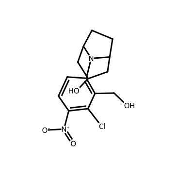 O=[N+]([O-])c1ccc(N2C3CCC2CC(O)C3)c(CO)c1Cl